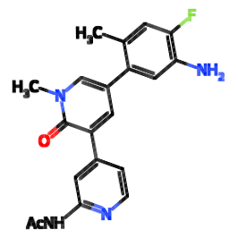 CC(=O)Nc1cc(-c2cc(-c3cc(N)c(F)cc3C)cn(C)c2=O)ccn1